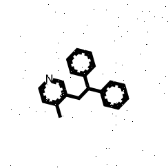 Cc1ccncc1CC(c1ccccc1)c1ccccc1